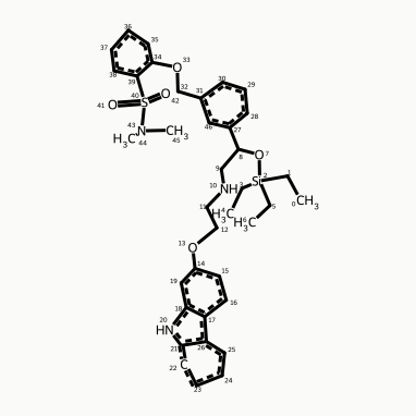 CC[Si](CC)(CC)OC(CNCCOc1ccc2c(c1)[nH]c1ccccc12)c1cccc(COc2ccccc2S(=O)(=O)N(C)C)c1